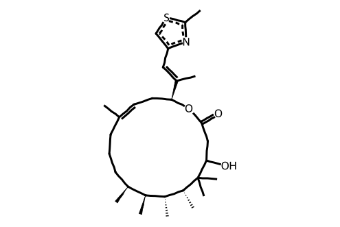 C/C1=C/C[C@@H](/C(C)=C/c2csc(C)n2)OC(=O)CC(O)C(C)(C)[C@H](C)[C@H](C)[C@@H](C)[C@@H](C)CCC1